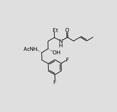 CC=CCC(=O)NC(CC)C[C@H](O)[C@H](Cc1cc(F)cc(F)c1)NC(C)=O